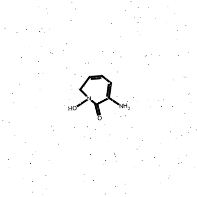 NC1=CC=CCN(O)C1=O